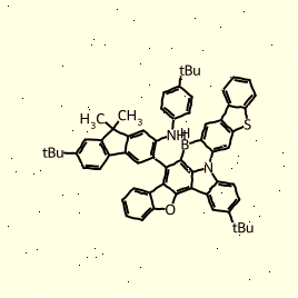 CC(C)(C)c1ccc(Nc2cc3c(cc2-c2c4c5c(c6cc(C(C)(C)C)ccc6n5-c5cc6sc7ccccc7c6cc5B4)c4oc5ccccc5c24)-c2ccc(C(C)(C)C)cc2C3(C)C)cc1